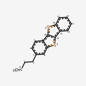 CCCCCCCCCCCCc1ccc2c(c1)sc1c3ccccc3sc21